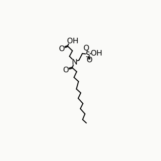 CCCCCCCCCCCC(=O)N(CCC(=O)O)CCS(=O)(=O)O